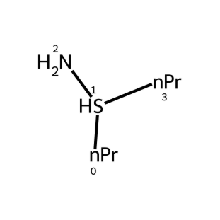 CCC[SH](N)CCC